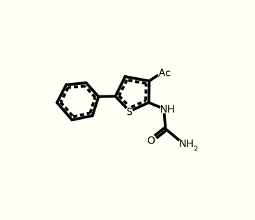 CC(=O)c1cc(-c2ccccc2)sc1NC(N)=O